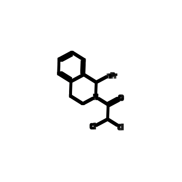 CCCC1c2ccccc2CCN1C(=O)C(Cl)Cl